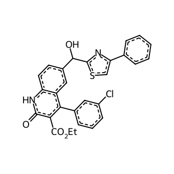 CCOC(=O)c1c(-c2cccc(Cl)c2)c2cc(C(O)c3nc(-c4ccccc4)cs3)ccc2[nH]c1=O